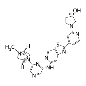 CN1C[C@@H]2C[C@H]1CN2c1cncc(Nc2cc3nc(-c4ccnc(N5CC[C@@H](O)C5)c4)sc3cn2)n1